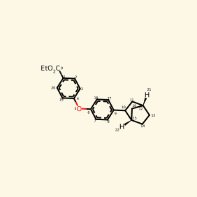 CCOC(=O)c1ccc(Oc2ccc(C3C[C@@H]4CC[C@H]3C4)cc2)cc1